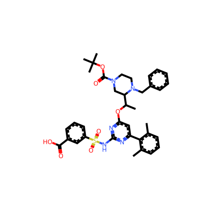 Cc1cccc(C)c1-c1cc(OC(C)C2CN(C(=O)OC(C)(C)C)CCN2Cc2ccccc2)nc(NS(=O)(=O)c2cccc(C(=O)O)c2)n1